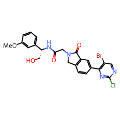 COc1cccc([C@@H](CO)NC(=O)CN2Cc3ccc(-c4nc(Cl)ncc4Br)cc3C2=O)c1